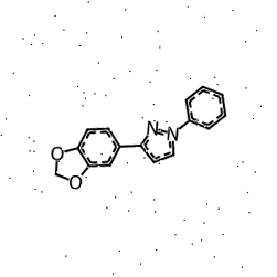 c1ccc(-n2ccc(-c3ccc4c(c3)OCO4)n2)cc1